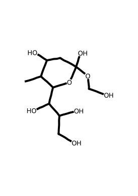 CC1C(O)CC(O)(OCO)OC1C(O)C(O)CO